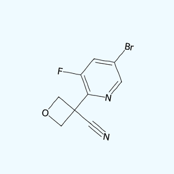 N#CC1(c2ncc(Br)cc2F)COC1